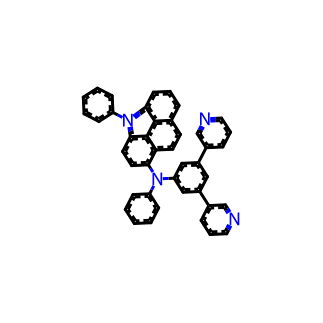 c1ccc(N(c2cc(-c3cccnc3)cc(-c3cccnc3)c2)c2ccc3c4c2ccc2cccc(c24)n3-c2ccccc2)cc1